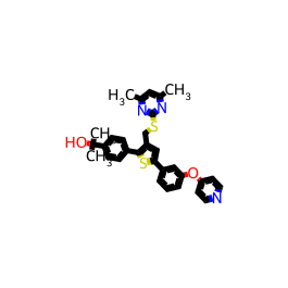 Cc1cc(C)nc(SCc2cc(-c3cccc(Oc4ccncc4)c3)sc2-c2ccc(C(C)(C)O)cc2)n1